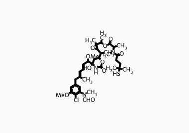 COc1cc(C/C(C)=C/C=C/C(OC)C2(O)CC(C(C)C3OC3(C)C(C)OC(=O)C(C)N(C)C(=O)CCC(C)(C)S)OC(=O)N2)cc(N(C)C=O)c1Cl